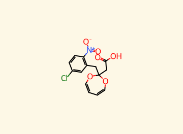 O=C(O)CC1(Cc2cc(Cl)ccc2[N+](=O)[O-])OC=CC=CO1